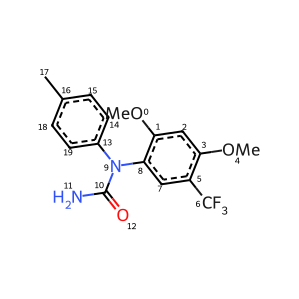 COc1cc(OC)c(C(F)(F)F)cc1N(C(N)=O)c1ccc(C)cc1